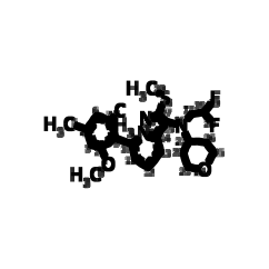 COc1cc(C)cc(C)c1-c1cccc2c(N(CC(F)F)C3CCOCC3)c(SC)nn12